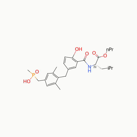 CCCOC(=O)[C@H](CC(C)C)NC(=O)c1cc(Cc2c(C)cc(CP(C)(=O)O)cc2C)ccc1O